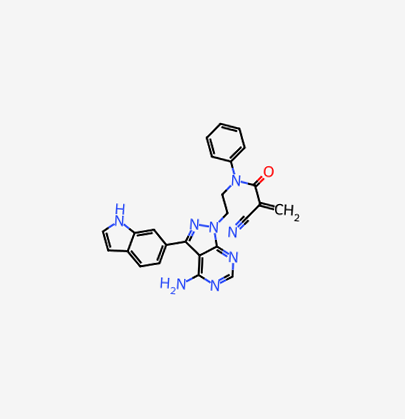 C=C(C#N)C(=O)N(CCn1nc(-c2ccc3cc[nH]c3c2)c2c(N)ncnc21)c1ccccc1